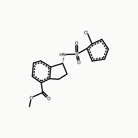 COC(=O)c1cccc2c1CC[C@H]2NS(=O)(=O)c1ccccc1Cl